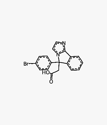 O=C(O)CC1(c2ccc(Br)cc2)c2ccccc2-c2nccn21